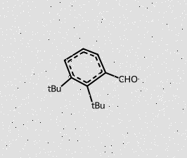 CC(C)(C)c1cccc([C]=O)c1C(C)(C)C